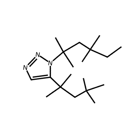 CCC(C)(C)CC(C)(C)n1nncc1C(C)(C)CC(C)(C)C